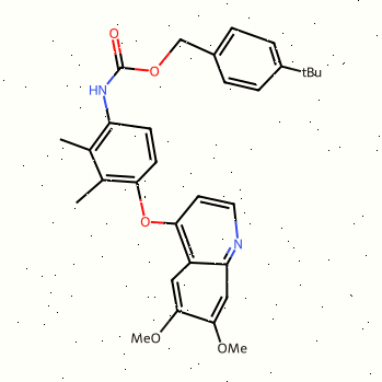 COc1cc2nccc(Oc3ccc(NC(=O)OCc4ccc(C(C)(C)C)cc4)c(C)c3C)c2cc1OC